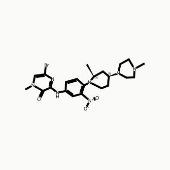 C[C@H]1C[C@@H](N2CCN(C)CC2)CCN1c1ccc(Nc2nc(Br)cn(C)c2=O)cc1[N+](=O)[O-]